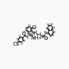 CN(CCCn1c(=N)n(CC(=O)c2ccc(Cl)cc2)c2cccc(Cl)c21)C(=O)Cc1cccc2ccccc12